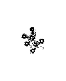 C[C@@H](OCc1ccccc1)[C@@H](OCc1ccccc1)[C@@H](N)COC1OC2COC(c3ccccc3)OC2C(OCc2ccccc2)C1OCc1ccccc1